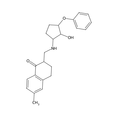 Cc1ccc2c(c1)CCC(CNC1CCC(Oc3ccccc3)C1O)C2=O